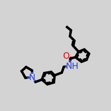 CCCC=Cc1ccccc1C(=O)NCCc1ccc(CN2CCCC2)cc1